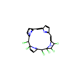 ClC1C2=CC3=NC(=Cc4ccc([nH]4)C(Cl)C4(Cl)C=CC(=N4)C(Cl)C(Cl)(N2)C1Cl)C=C3